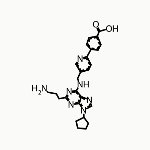 NCCCc1nc(NCc2ccc(-c3ccc(C(=O)O)cc3)nc2)c2ncn(C3CCCC3)c2n1